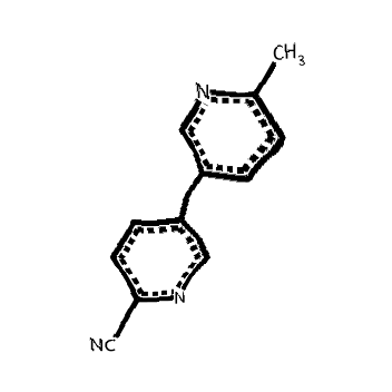 Cc1ccc(-c2ccc(C#N)nc2)cn1